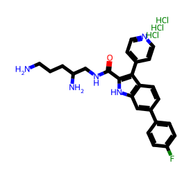 Cl.Cl.Cl.NCCCC(N)CNC(=O)c1[nH]c2cc(-c3ccc(F)cc3)ccc2c1-c1ccncc1